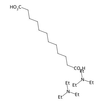 CCN(CC)CC.CCN(CC)CC.O=C(O)CCCCCCCCCCC(=O)O